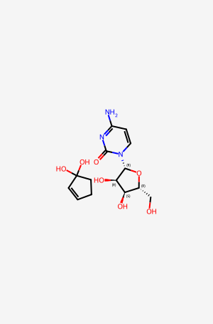 Nc1ccn([C@@H]2O[C@H](CO)[C@@H](O)[C@H]2O)c(=O)n1.OC1(O)C=CCC1